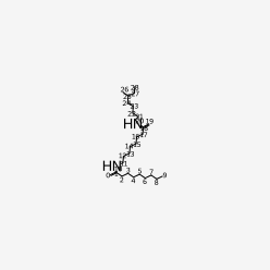 C=C(CCCCCCCC)NCCCCCCCC(=C)NCCCCC(C)CC